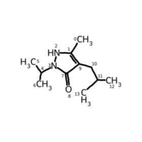 Cc1[nH]n(C(C)C)c(=O)c1CC(C)C